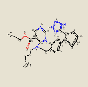 CCCCN(Cc1ccc(-c2ccccc2-c2nnn[nH]2)cc1)c1ncncc1C(=O)OCC